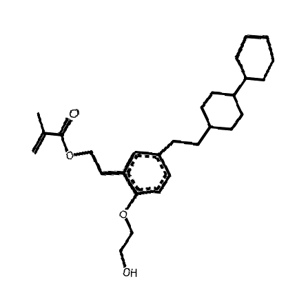 C=C(C)C(=O)OCCc1cc(CCC2CCC(C3CCCCC3)CC2)ccc1OCCO